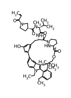 C=CC(=O)N1CC[C@H](C(=O)N(C)[C@H](C(=O)N[C@H]2Cc3cc(O)cc(c3)-c3ccc4c(c3)c(c(-c3c(CC)cccc3CC)n4CC)CC(C)(C)COC(=O)[C@@H]3CCCN(N3)C2=O)C(C)C)C1